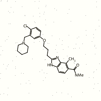 CNC(=O)c1ccc2[nH]c(CCCOc3ccc(Cl)c(CN4CCCCC4)c3)nc2c1C